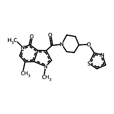 Cc1cn(C)c(=O)c2c(C(=O)N3CCC(Oc4nccs4)CC3)cn(C)c12